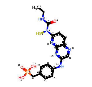 CCNC(=O)N(S)c1ccc2ncc(Nc3ccc(CP(=O)(O)O)cc3)nc2n1